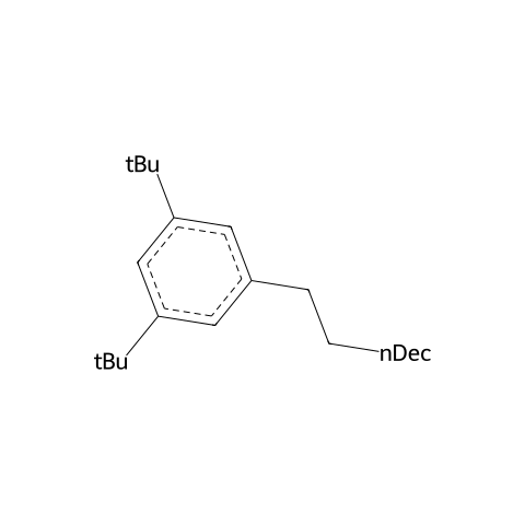 CCCCCCCCCCCCc1cc(C(C)(C)C)cc(C(C)(C)C)c1